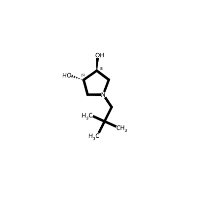 CC(C)(C)CN1C[C@H](O)[C@@H](O)C1